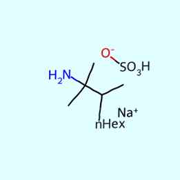 CCCCCCC(C)C(C)(C)N.O=S(=O)([O-])O.[Na+]